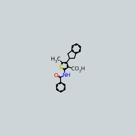 Cc1sc(NC(=O)c2ccccc2)c(C(=O)O)c1C1Cc2ccccc2C1